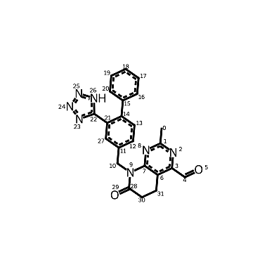 Cc1nc(C=O)c2c(n1)N(Cc1ccc(-c3ccccc3)c(-c3nnn[nH]3)c1)C(=O)CC2